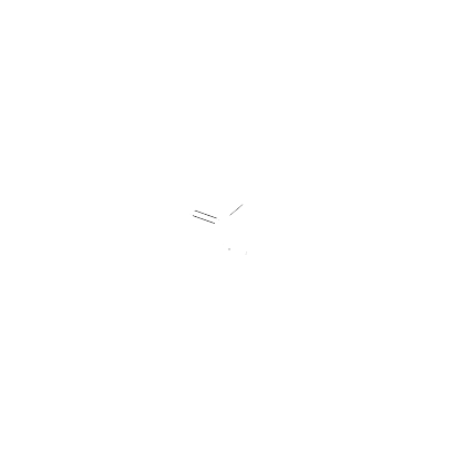 C[S+]=O.[SiH4]